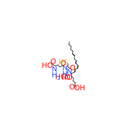 CCCCCC=CCC=C/C=C\C=C\C([C@@H](O)CCCC(=O)O)N(CC(=O)O)C(=O)C(CS)NC(=O)CCC(N)C(=O)O